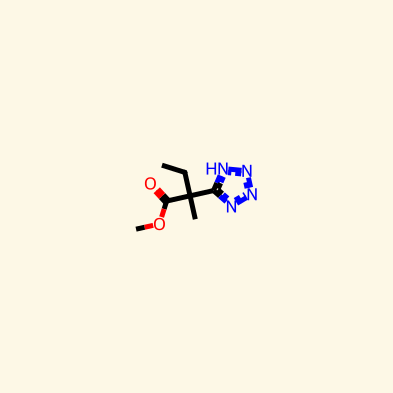 CCC(C)(C(=O)OC)c1nnn[nH]1